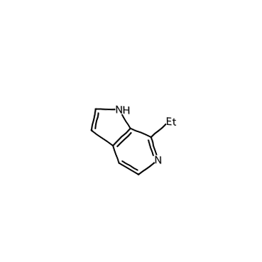 CCc1nccc2cc[nH]c12